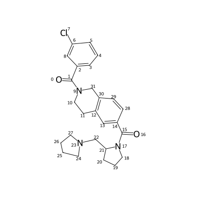 O=C(c1cccc(Cl)c1)N1CCc2cc(C(=O)N3CCCC3CN3CCCC3)ccc2C1